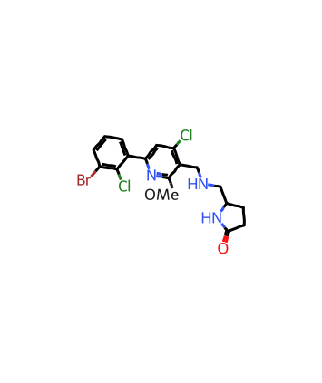 COc1nc(-c2cccc(Br)c2Cl)cc(Cl)c1CNCC1CCC(=O)N1